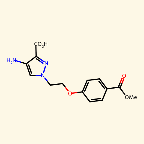 COC(=O)c1ccc(OCCn2cc(N)c(C(=O)O)n2)cc1